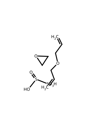 C1CO1.C=CCOCC=C.O=S(O)S(=O)(=O)O